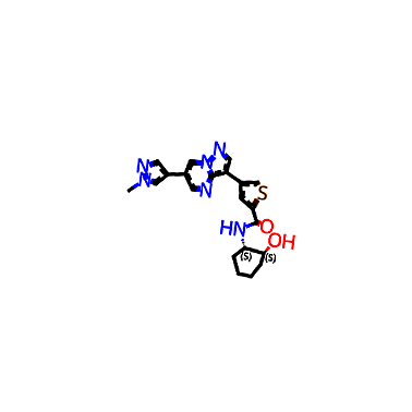 Cn1cc(-c2cnc3c(-c4csc(C(=O)N[C@H]5CCCC[C@@H]5O)c4)cnn3c2)cn1